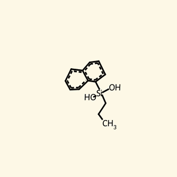 CCC[Si](O)(O)c1cccc2ccccc12